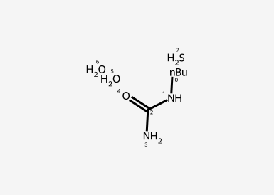 CCCCNC(N)=O.O.O.S